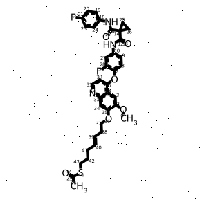 COc1cc2c(Oc3ccc(NC(=O)C4(C(=O)Nc5ccc(F)cc5)CC4)cc3F)ccnc2cc1OCC/C=C/CCCSC(C)=O